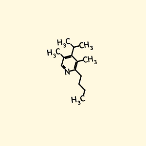 CCCCc1ncc(C)c(C(C)C)c1C